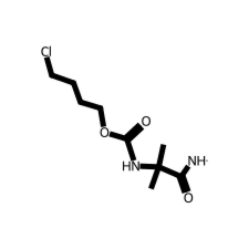 CC(C)(NC(=O)OCCCCCl)C([NH])=O